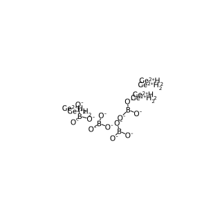 [GeH2+2].[GeH2+2].[GeH2+2].[GeH2+2].[GeH2+2].[GeH2+2].[O-]B([O-])[O-].[O-]B([O-])[O-].[O-]B([O-])[O-].[O-]B([O-])[O-]